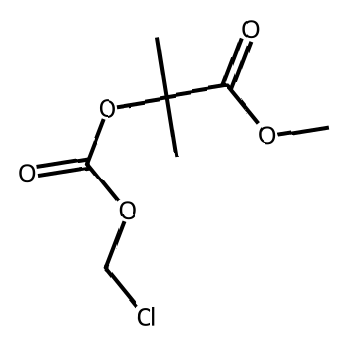 COC(=O)C(C)(C)OC(=O)OCCl